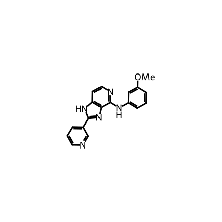 COc1cccc(Nc2nccc3[nH]c(-c4cccnc4)nc23)c1